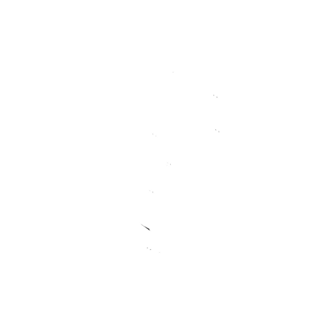 NC(=O)[C@H]1CCCC[C@@H]1Nc1nc(-c2c[nH]c3ncc(Cl)cc23)ncc1F